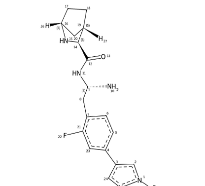 CCCn1cc(-c2ccc(C[C@@H](N)NC(=O)[C@H]3N[C@@H]4CC[C@H]3C4)c(F)c2)cn1